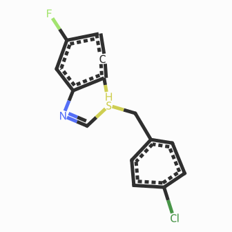 Fc1ccc2c(c1)N=C[SH]2Cc1ccc(Cl)cc1